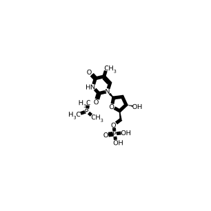 CP(C)C.Cc1cn([C@H]2C[C@H](O)[C@@H](COP(=O)(O)O)O2)c(=O)[nH]c1=O